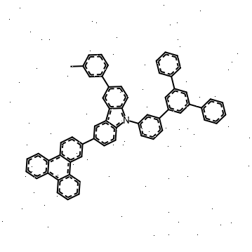 Cc1cccc(-c2ccc3c(c2)c2cc(-c4ccc5c6ccccc6c6ccccc6c5c4)ccc2n3-c2cccc(-c3cc(-c4ccccc4)cc(-c4ccccc4)c3)c2)c1